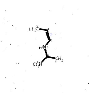 C/C=C\NC(C)[N+](=O)[O-]